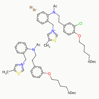 CCCCCCCCCCCCCCOc1ccc(CCN(C(C)=O)c2ccccc2C[n+]2csc(C)c2)cc1Cl.CCCCCCCCCCCCCCOc1cccc(CCN(C(C)=O)c2ccccc2C[n+]2csc(C)c2)c1.[Br-].[Br-]